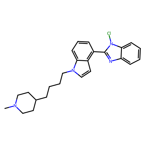 CN1CCC(CCCCn2ccc3c(-c4nc5ccccc5n4Cl)cccc32)CC1